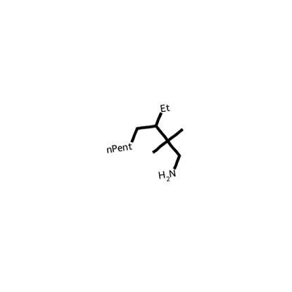 CCCCCCC(CC)C(C)(C)CN